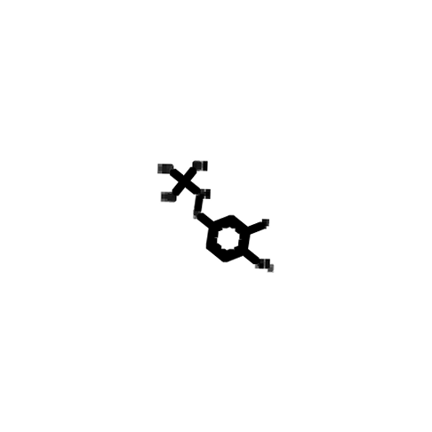 Nc1ccc(SNC(O)(O)O)cc1F